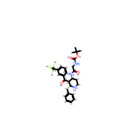 CC(C)(C)OC(=O)NCC(=O)N[C@H]1CCN[C@H](Cc2ccccc2)C1C(=O)c1cccc(C(F)(F)F)c1